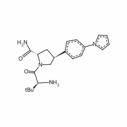 CC(C)(C)[C@H](N)C(=O)N1C[C@H](c2ccc(-n3cccc3)cc2)C[C@H]1C(N)=O